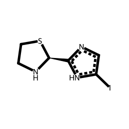 Ic1cnc([C@H]2NCCS2)[nH]1